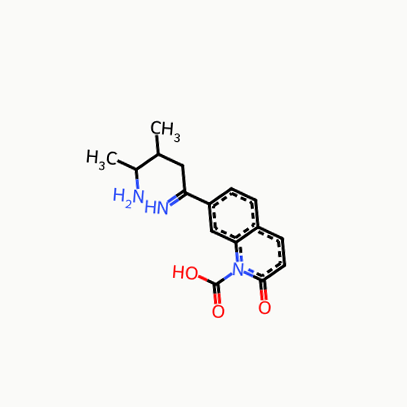 CC(N)C(C)CC(=N)c1ccc2ccc(=O)n(C(=O)O)c2c1